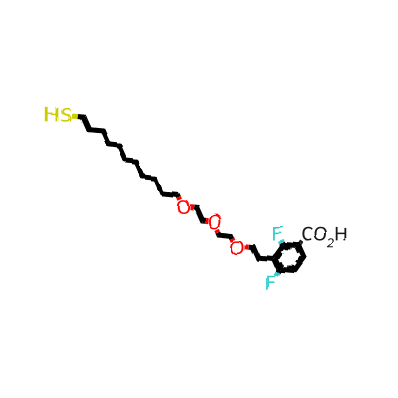 O=C(O)c1ccc(F)c(CCOCCOCCOCCCCCCCCCCCS)c1F